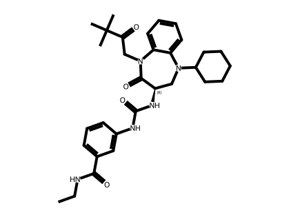 CCNC(=O)c1cccc(NC(=O)N[C@@H]2CN(C3CCCCC3)c3ccccc3N(CC(=O)C(C)(C)C)C2=O)c1